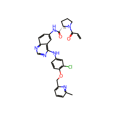 C=CC(=O)N1CCC[C@H]1C(=O)Nc1ccc2ncnc(Nc3ccc(OCc4cccc(C)n4)c(Cl)c3)c2c1